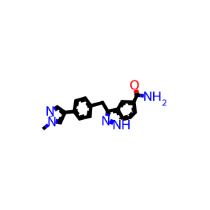 Cn1cc(-c2ccc(Cc3n[nH]c4ccc(C(N)=O)cc34)cc2)cn1